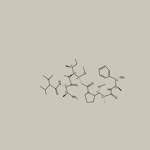 CC[C@H](C)[C@@H]([C@@H](CC(=O)N1CCCC1[C@H](OC)[C@@H](C)C(=O)N[C@H](C)[C@@H](O)c1ccccc1)OC)N(C)C(=O)[C@@H](NC(=O)C(C(C)C)N(C)C)[C@H](C)N